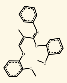 COc1ccccc1OC=C(C)C(=Nc1ccccc1)Oc1ccccc1OC